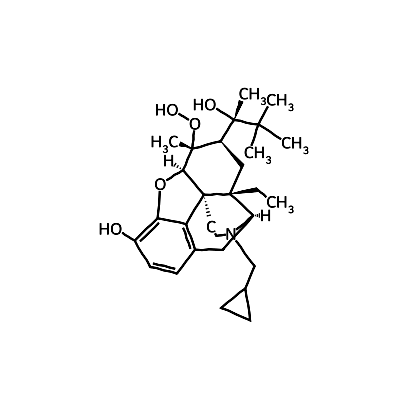 CC[C@]12C[C@H]([C@](C)(O)C(C)(C)C)[C@@](C)(OO)[C@@H]3Oc4c(O)ccc5c4[C@@]31CCN(CC1CC1)[C@@H]2C5